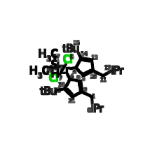 CC(C)CC1=C[CH]([Zr]([Cl])([Cl])([CH]2C=C(CC(C)C)C=C2C(C)(C)C)[SiH](C)C)C(C(C)(C)C)=C1